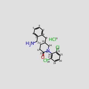 Cl.NCc1ccccc1CC1CCC(=O)N(c2c(Cl)cccc2Cl)C1